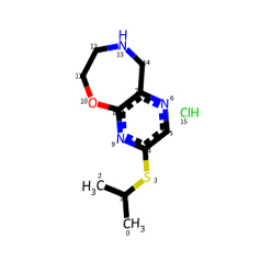 CC(C)Sc1cnc2c(n1)OCCNC2.Cl